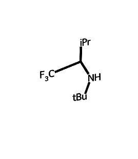 CC(C)C(NC(C)(C)C)C(F)(F)F